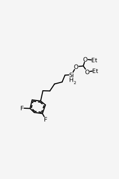 CCOC(OCC)O[SiH2]CCCCCc1cc(F)cc(F)c1